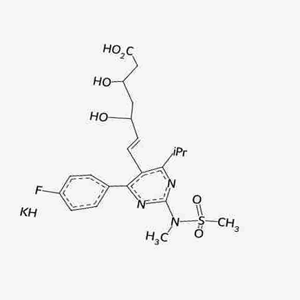 CC(C)c1nc(N(C)S(C)(=O)=O)nc(-c2ccc(F)cc2)c1/C=C/C(O)CC(O)CC(=O)O.[KH]